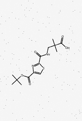 CC(C)(C)OC(=O)c1csc(C(=O)NCC(C)(C)C(=O)O)n1